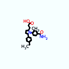 CCc1ccc(-c2ccc(CCC(=O)O)n2-c2ccc(C(N)=O)cc2C)cc1